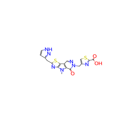 Cn1c2nc(Cc3cc[nH]n3)sc2c2cnn(Cc3csc(C(=O)O)n3)c(=O)c21